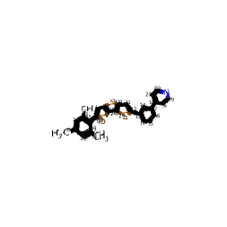 Cc1cc(C)c(-c2cc3sc4cc(-c5cccc(-c6ccncc6)c5)sc4c3s2)c(C)c1